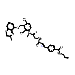 C=CCNC(=O)c1ccc(/C=C/C(=O)NCC(=O)N(C)c2ccc(Cl)c(COc3cccc4ncc(C)nc34)c2Cl)cc1